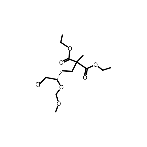 CCOC(=O)C(C)(CC[C@@H](CCl)OCOC)C(=O)OCC